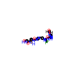 O=C1CCC(c2nsc3c(NC(=O)CN4CCN(CC5CCC(n6cc(NC(=O)c7cnn8ccc(N9C[C@H]%10C[C@@H]9CO%10)nc78)c(C(F)F)n6)CC5)CC4)cccc23)C(=O)N1